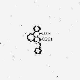 CCOC(=O)C(CCc1ccccc1)N(CC(=O)O)N1C(=O)CCCCC1c1ccccc1